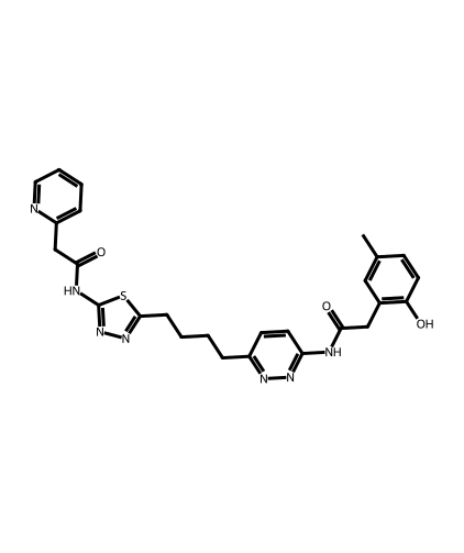 Cc1ccc(O)c(CC(=O)Nc2ccc(CCCCc3nnc(NC(=O)Cc4ccccn4)s3)nn2)c1